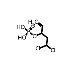 C=CC(CC(Cl)Cl)OP(=O)(O)O